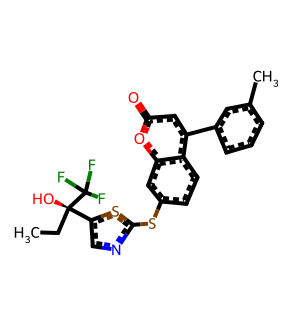 CC[C@@](O)(c1cnc(Sc2ccc3c(-c4cccc(C)c4)cc(=O)oc3c2)s1)C(F)(F)F